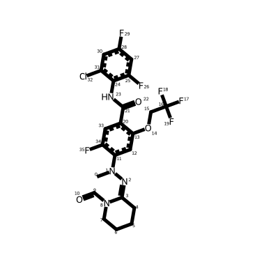 CN(/N=C1/CCCCN1C=O)c1cc(OCC(F)(F)F)c(C(=O)Nc2c(F)cc(F)cc2Cl)cc1F